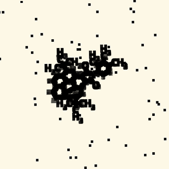 Cc1ccc(-n2c(=O)c3c4cc(C(C)(C)C)c5ccc6ccc7c(C(C)(C)C)cc(c3c2=O)c2c7c6c5c42)c(C)c1C